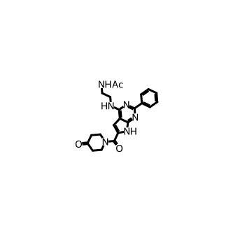 CC(=O)NCCNc1nc(-c2ccccc2)nc2[nH]c(C(=O)N3CCC(=O)CC3)cc12